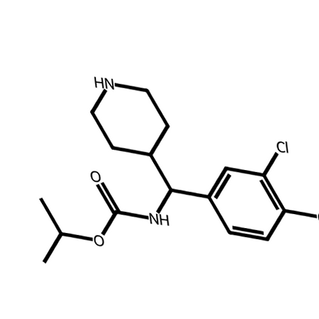 CC(C)OC(=O)NC(c1ccc(Cl)c(Cl)c1)C1CCNCC1